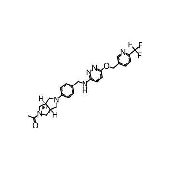 CC(=O)N1C[C@@H]2CN(c3ccc(CNc4ccc(OCc5ccc(C(F)(F)F)nc5)nn4)cc3)C[C@@H]2C1